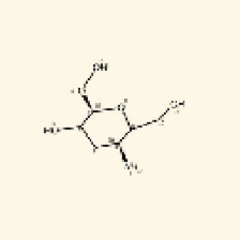 N[C@H]1CC(O)[C@@H](OO)OC1CO